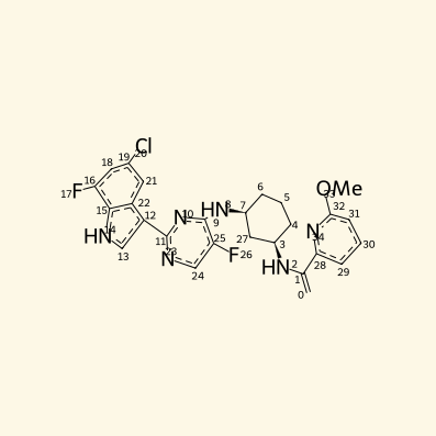 C=C(N[C@@H]1CCC[C@H](Nc2nc(-c3c[nH]c4c(F)cc(Cl)cc34)ncc2F)C1)c1cccc(OC)n1